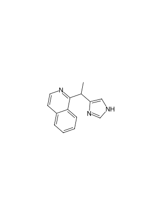 CC(c1c[nH]cn1)c1nccc2ccccc12